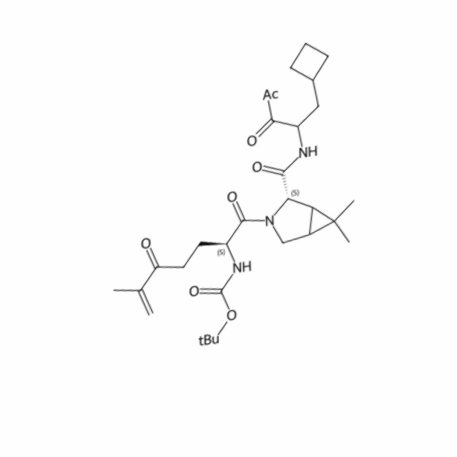 C=C(C)C(=O)CC[C@H](NC(=O)OC(C)(C)C)C(=O)N1CC2C([C@H]1C(=O)NC(CC1CCC1)C(=O)C(C)=O)C2(C)C